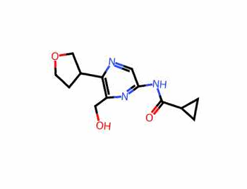 O=C(Nc1cnc(C2CCOC2)c(CO)n1)C1CC1